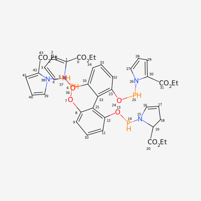 CCOC(=O)c1cccn1POc1cccc(OPN2C=CCC2C(=O)OCC)c1-c1c(OPn2cccc2C(=O)OCC)cccc1OPn1cccc1C(=O)OCC